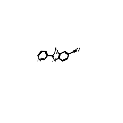 Cn1c(-c2cccnc2)nc2ccc(C#N)cc21